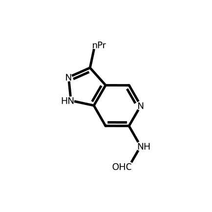 CCCc1n[nH]c2cc(NC=O)ncc12